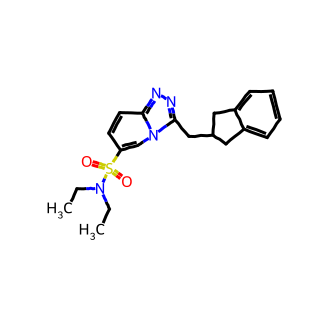 CCN(CC)S(=O)(=O)c1ccc2nnc(CC3Cc4ccccc4C3)n2c1